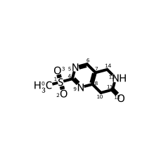 CS(=O)(=O)c1ncc2c(n1)CC(=O)NC2